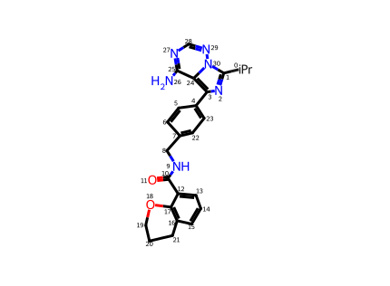 CC(C)c1nc(-c2ccc(CNC(=O)c3cccc4c3OCCC4)cc2)c2c(N)ncnn12